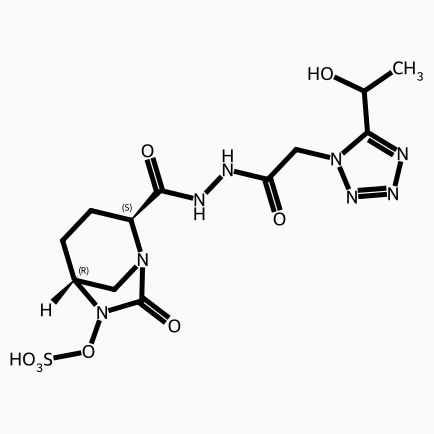 CC(O)c1nnnn1CC(=O)NNC(=O)[C@@H]1CC[C@@H]2CN1C(=O)N2OS(=O)(=O)O